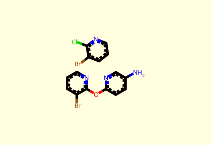 Clc1ncccc1Br.Nc1ccc(Oc2ncccc2Br)nc1